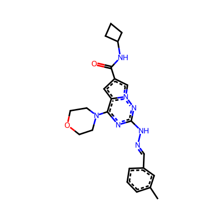 Cc1cccc(/C=N/Nc2nc(N3CCOCC3)c3cc(C(=O)NC4CCC4)cn3n2)c1